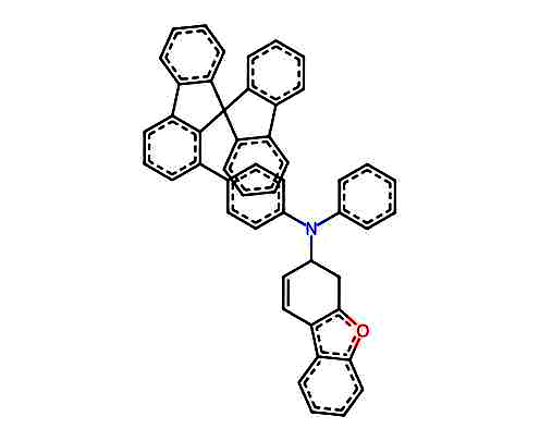 C1=CC(N(c2ccccc2)c2ccc(-c3cccc4c3C3(c5ccccc5-c5ccccc53)c3ccccc3-4)cc2)Cc2oc3ccccc3c21